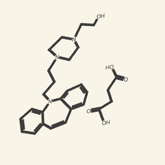 O=C(O)CCC(=O)O.OCCN1CCN(CCCN2c3ccccc3C=Cc3ccccc32)CC1